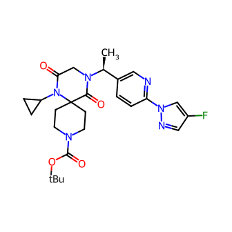 C[C@@H](c1ccc(-n2cc(F)cn2)nc1)N1CC(=O)N(C2CC2)C2(CCN(C(=O)OC(C)(C)C)CC2)C1=O